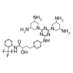 NC1CC(N)CN(c2nc(Nc3ccc(CCC(O)C(=O)Nc4ccccc4C(F)(F)F)cc3)nc(N3CC(N)CC(N)C3)n2)C1